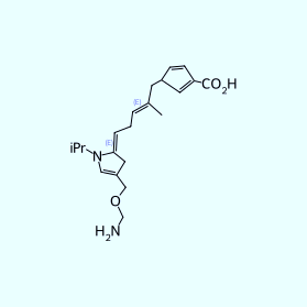 C/C(=C\C/C=C1\CC(COCN)=CN1C(C)C)CC1C=CC(C(=O)O)=C1